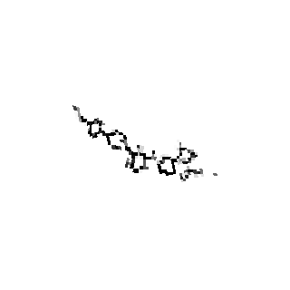 N#Cc1ccc(C2CCN(c3ncnc(Nc4cccc(N5C(=O)CC[C@@H]5C(N)=O)c4)n3)CC2)cc1